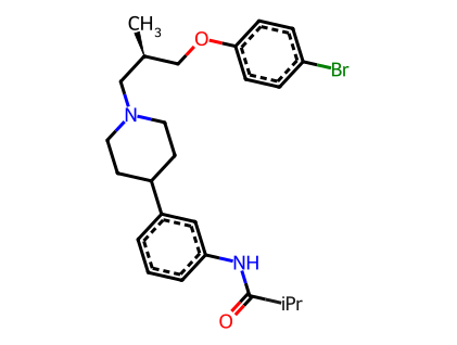 CC(C)C(=O)Nc1cccc(C2CCN(C[C@@H](C)COc3ccc(Br)cc3)CC2)c1